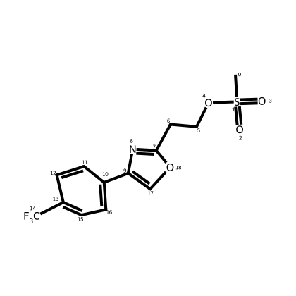 CS(=O)(=O)OCCc1nc(-c2ccc(C(F)(F)F)cc2)co1